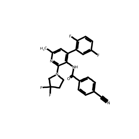 Cc1cc(-c2cc(F)ccc2F)c(NC(=O)c2ccc(C#N)cc2)c(N2CCC(F)(F)C2)n1